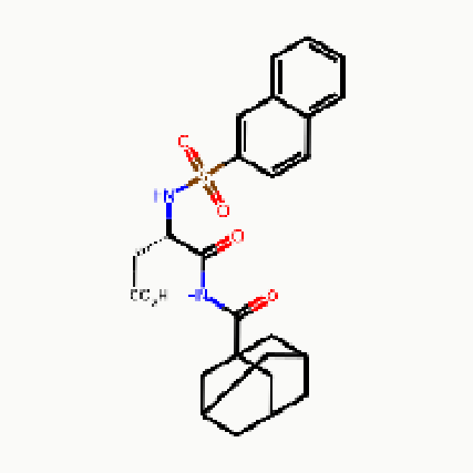 O=C(O)C[C@H](NS(=O)(=O)c1ccc2ccccc2c1)C(=O)NC(=O)C12CC3CC(CC(C3)C1)C2